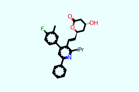 Cc1cc(-c2cc(-c3ccccc3)nc(C(C)C)c2/C=C/[C@@H]2C[C@@H](O)CC(=O)O2)ccc1F